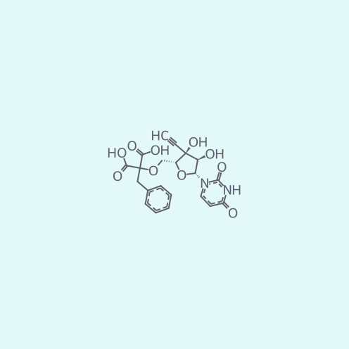 C#C[C@@]1(O)[C@@H](COC(Cc2ccccc2)(C(=O)O)C(=O)O)O[C@@H](n2ccc(=O)[nH]c2=O)[C@@H]1O